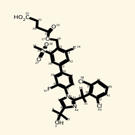 CC(C)(O)c1cn(-c2ccc(-c3cc(F)c(COC(=O)CCC(=O)O)c(S(C)(=O)=O)c3)cc2F)c(C(C)(C)c2c(Cl)cccc2Cl)n1